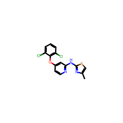 Cc1csc(Nc2cc(Oc3c(Cl)cccc3Cl)ccn2)n1